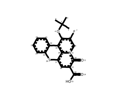 CC(C)(C)Oc1c(F)cn2c(=O)c(C(=O)O)cc3c2c1-c1ccccc1S3